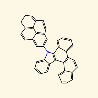 C1=c2ccc3cc(-n4c5ccccc5c5c6c7ccccc7ccc6c6ccccc6c54)cc4ccc(c2c43)CC1